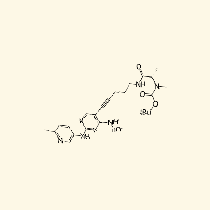 CCCNc1nc(Nc2ccc(C)nc2)ncc1C#CCCCNC(=O)[C@H](C)N(C)C(=O)OC(C)(C)C